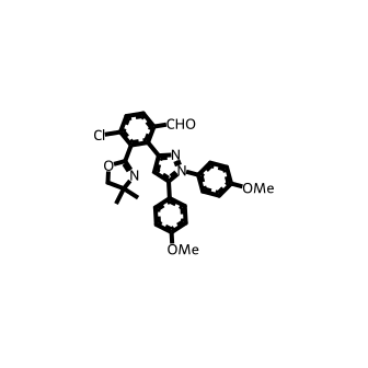 COc1ccc(-c2cc(-c3c(C=O)ccc(Cl)c3C3=NC(C)(C)CO3)nn2-c2ccc(OC)cc2)cc1